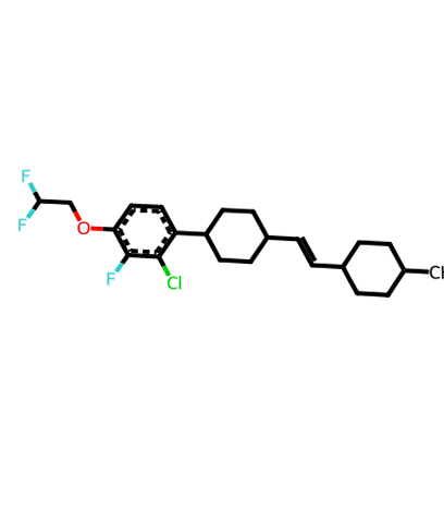 CC1CCC(/C=C/C2CCC(c3ccc(OCC(F)F)c(F)c3Cl)CC2)CC1